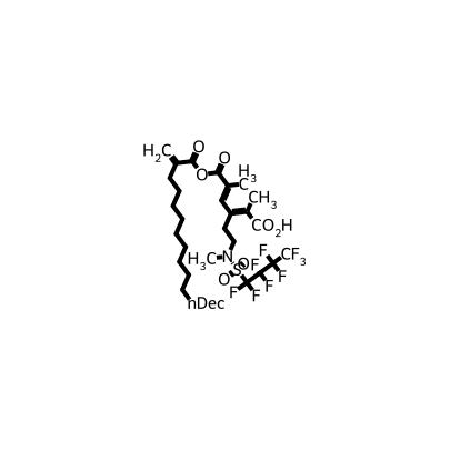 C=C(CCCCCCCCCCCCCCCCCCC)C(=O)OC(=O)C(C)=CC(CCN(C)S(=O)(=O)C(F)(F)C(F)(F)C(F)(F)C(F)(F)F)=C(C)C(=O)O